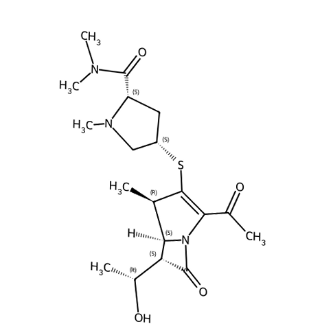 CC(=O)C1=C(S[C@H]2C[C@@H](C(=O)N(C)C)N(C)C2)[C@H](C)[C@@H]2[C@@H]([C@@H](C)O)C(=O)N12